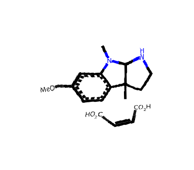 COc1ccc2c(c1)N(C)C1NCCC21C.O=C(O)/C=C\C(=O)O